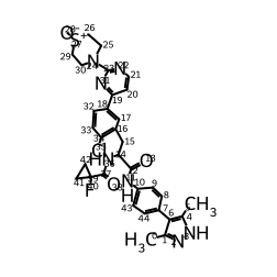 Cc1n[nH]c(C)c1-c1ccc(NC(=O)C(Cc2cc(-c3ccnc(N4CC[S+]([O-])CC4)n3)ccc2Cl)NC(=O)C2(F)CC2)cc1